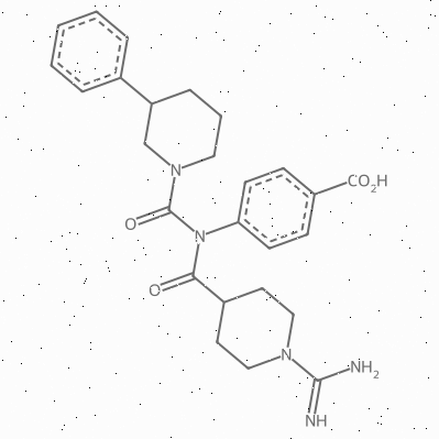 N=C(N)N1CCC(C(=O)N(C(=O)N2CCCC(c3ccccc3)C2)c2ccc(C(=O)O)cc2)CC1